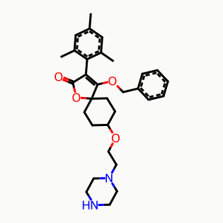 Cc1cc(C)c(C2=C(OCc3ccccc3)C3(CCC(OCCN4CCNCC4)CC3)OC2=O)c(C)c1